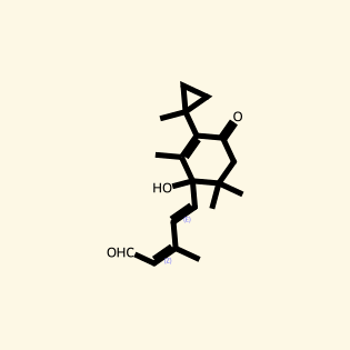 CC1=C(C2(C)CC2)C(=O)CC(C)(C)C1(O)/C=C/C(C)=C\C=O